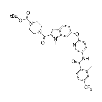 Cc1cc(C(F)(F)F)ccc1C(=O)Nc1ccc(Oc2ccc3cc(C(=O)N4CCN(C(=O)OC(C)(C)C)CC4)n(C)c3c2)nc1